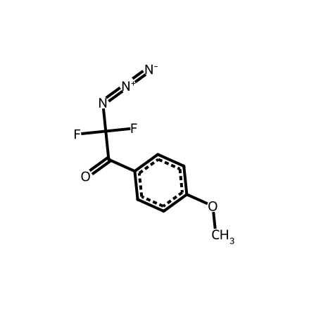 COc1ccc(C(=O)C(F)(F)N=[N+]=[N-])cc1